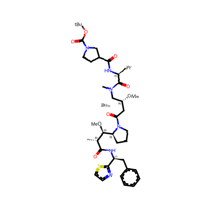 CC[C@H](C)C([C@@H](CC(=O)N1CCC[C@H]1[C@H](OC)[C@@H](C)C(=O)N[C@@H](Cc1ccccc1)c1nccs1)OC)N(C)C(=O)[C@@H](NC(=O)C1CCN(C(=O)OC(C)(C)C)C1)C(C)C